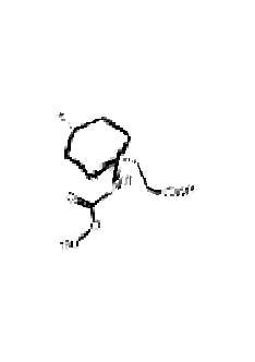 COCC[C@]1(NC(=O)OC(C)(C)C)CC[C@H](C)CC1